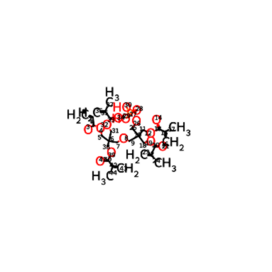 C=CC(=O)OCC(COCC(COC(=O)C(=C)C)(COC(=O)C(=C)C)COP(=O)(O)O)(COC(=O)C(=C)C)COC(=O)C(=C)C